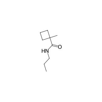 CCCNC(=O)C1(C)CCC1